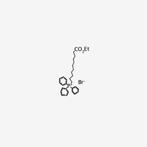 CCOC(=O)CCCCCCCCCC[P+](c1ccccc1)(c1ccccc1)c1ccccc1.[Br-]